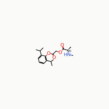 CN[C@H](C)C(=O)OCC(=O)Oc1c(C(C)C)cccc1C(C)C